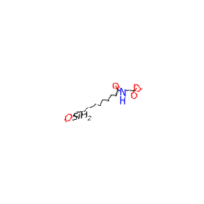 CO[SiH2]CCCCCCCCCCC(=O)NCC(=O)OC